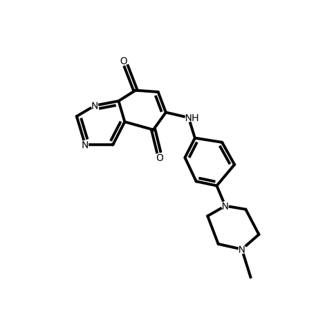 CN1CCN(c2ccc(NC3=CC(=O)c4ncncc4C3=O)cc2)CC1